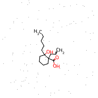 C=CCC1(C(=O)O)CCCCC1(O)CCCCC